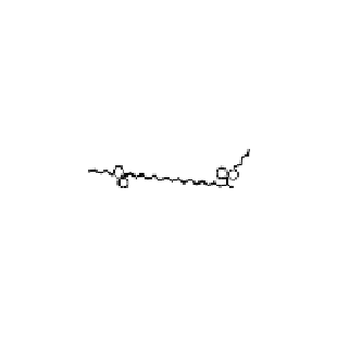 CCCCCOC(=O)CCCCCCCCCCCCCCCCC(C)C(=O)OCCCCC